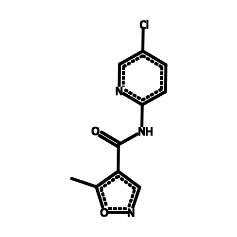 Cc1oncc1C(=O)Nc1ccc(Cl)cn1